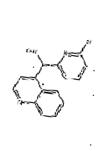 O=CC(c1cccc(Br)n1)c1ccnc2ccccc12